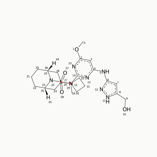 COc1cc(Nc2cc(CO)[nH]n2)nc(N(C)C2C[C@H]3CCC[C@@H](C2)N3S(=O)(=O)N2CCC2)n1